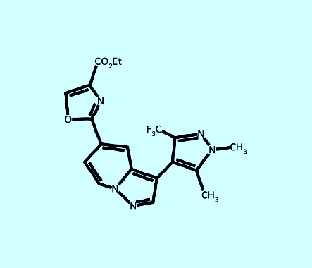 CCOC(=O)c1coc(-c2ccn3ncc(-c4c(C(F)(F)F)nn(C)c4C)c3c2)n1